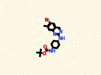 Cc1cc2nc(N[C@H]3CC[C@H](NC(=O)OC(C)(C)C)CC3)ncc2cc1Br